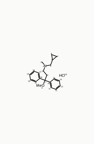 COC(CCN(C)CC1CC1)(c1ccccc1)c1ccccc1.Cl